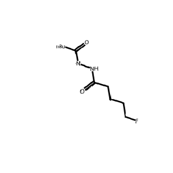 CCCCC(=O)[N]NC(=O)CCCCF